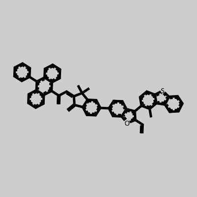 C=Cc1oc2cc(-c3ccc4c(c3)C(C)(C)/C(=C/C(=C)c3c5ccccc5c(-c5ccccc5)c5ccccc35)C4=C)ccc2c1-c1ccc2sc3ccccc3c2c1C